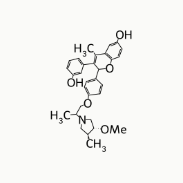 CO[C@H]1CN(C(C)COc2ccc(C3Oc4ccc(O)cc4C(C)=C3c3cccc(O)c3)cc2)C[C@@H]1C